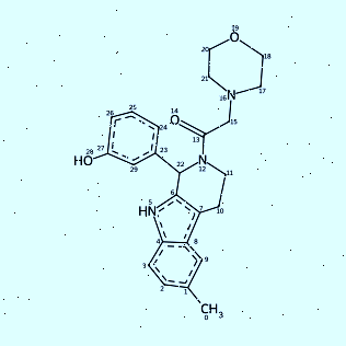 Cc1ccc2[nH]c3c(c2c1)CCN(C(=O)CN1CCOCC1)C3c1cccc(O)c1